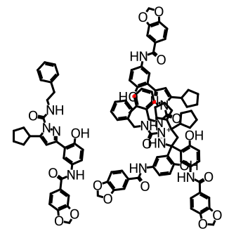 Cc1ccccc1CN(C(=O)n1nc(-c2cc(NC(=O)c3ccc4c(c3)OCO4)ccc2O)cc1C1CCCC1)[N+]1(C(=O)NCc2ccccc2)NC(c2cc(NC(=O)c3ccc4c(c3)OCO4)ccc2O)(c2cc(NC(=O)c3ccc4c(c3)OCO4)ccc2O)CC1(C1CCCC1)C1CCCC1.O=C(Nc1ccc(O)c(-c2cc(C3CCCC3)n(C(=O)NCCc3ccccc3)n2)c1)c1ccc2c(c1)OCO2